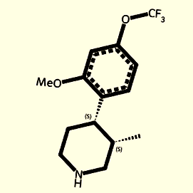 COc1cc(OC(F)(F)F)ccc1[C@H]1CCNC[C@H]1C